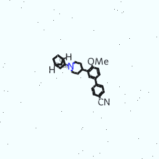 COc1ccc(-c2ccc(C#N)cc2)cc1C1CCN([C@H]2C[C@H]3CC[C@H]2C3)CC1